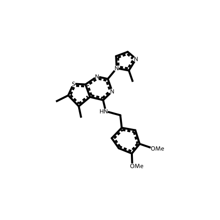 COc1ccc(CNc2nc(-n3ccnc3C)nc3sc(C)c(C)c23)cc1OC